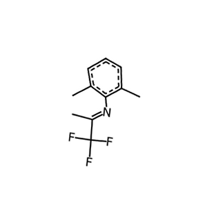 C/C(=N\c1c(C)cccc1C)C(F)(F)F